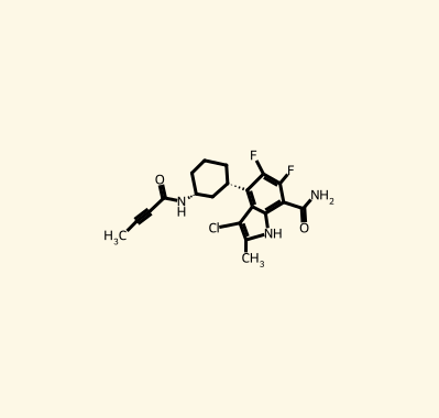 CC#CC(=O)N[C@@H]1CCC[C@H](c2c(F)c(F)c(C(N)=O)c3[nH]c(C)c(Cl)c23)C1